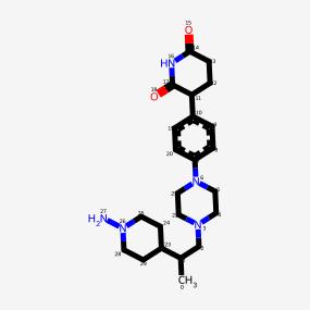 CC(CN1CCN(c2ccc(C3CCC(=O)NC3=O)cc2)CC1)C1CCN(N)CC1